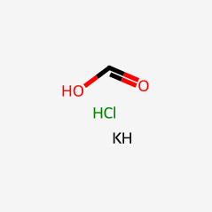 Cl.O=CO.[KH]